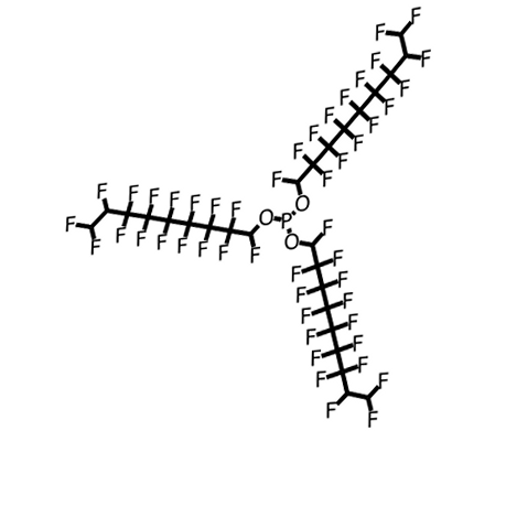 FC(F)C(F)C(F)(F)C(F)(F)C(F)(F)C(F)(F)C(F)(F)C(F)(F)C(F)OP(OC(F)C(F)(F)C(F)(F)C(F)(F)C(F)(F)C(F)(F)C(F)(F)C(F)C(F)F)OC(F)C(F)(F)C(F)(F)C(F)(F)C(F)(F)C(F)(F)C(F)(F)C(F)C(F)F